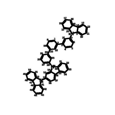 c1cc(-c2cccc(-n3c4ccccc4c4ccccc43)c2)cc(-c2cccc(-n3c4ccccc4c4ccc(-n5c6ccccc6c6ccccc65)cc43)c2)c1